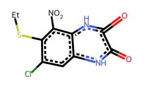 CCSc1c(Cl)cc2[nH]c(=O)c(=O)[nH]c2c1[N+](=O)[O-]